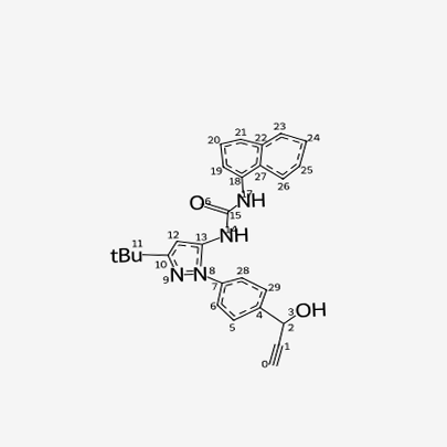 C#CC(O)c1ccc(-n2nc(C(C)(C)C)cc2NC(=O)Nc2cccc3ccccc23)cc1